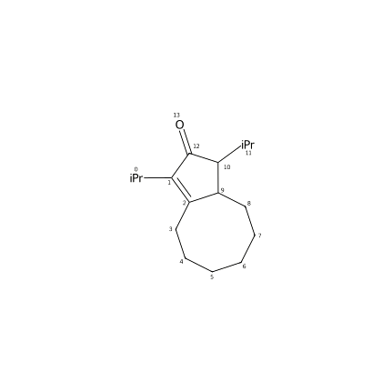 CC(C)C1=C2CCCCCCC2C(C(C)C)C1=O